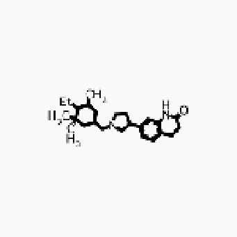 CCC1C(C)CC(CN2CCC(c3ccc4c(c3)NC(=O)CC4)C2)CC1(C)C